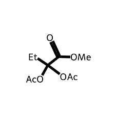 [CH2]CC(OC(C)=O)(OC(C)=O)C(=O)OC